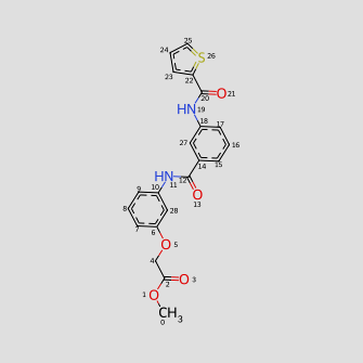 COC(=O)COc1cccc(NC(=O)c2cccc(NC(=O)c3cccs3)c2)c1